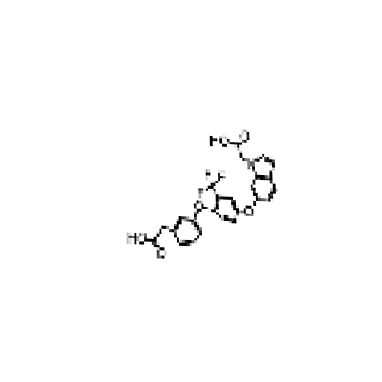 O=C(O)Cc1cccc(Oc2ccc(Oc3ccc4ccn(CC(=O)O)c4c3)cc2C(F)(F)F)c1